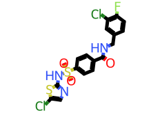 O=C(NCc1ccc(F)c(Cl)c1)c1ccc(S(=O)(=O)Nc2ncc(Cl)s2)cc1